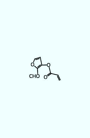 C=CC(=O)Oc1ccoc1C=O